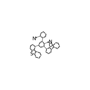 N#Cc1ccccc1-c1cc(-c2cccc3sc4ccccc4c23)cc(-c2cccc3c2oc2ccccc23)c1C#N